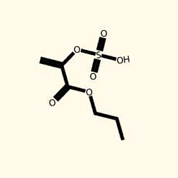 C=C(OS(=O)(=O)O)C(=O)OCCC